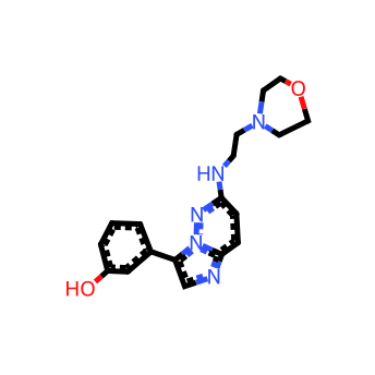 Oc1cccc(-c2cnc3ccc(NCCN4CCOCC4)nn23)c1